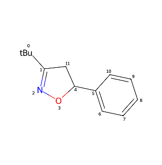 CC(C)(C)C1=NOC(c2ccccc2)C1